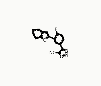 N#Cc1onnc1-c1ccc(F)c(-c2cc3ccccc3o2)c1